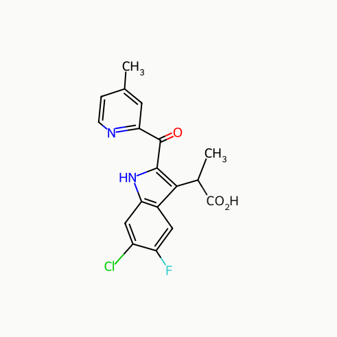 Cc1ccnc(C(=O)c2[nH]c3cc(Cl)c(F)cc3c2C(C)C(=O)O)c1